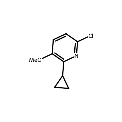 COc1ccc(Cl)nc1C1CC1